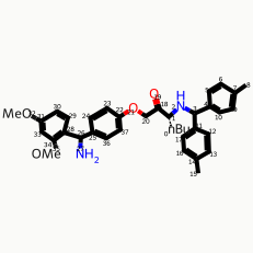 CCCC[C@@H](NC(c1ccc(C)cc1)c1ccc(C)cc1)C(=O)COc1ccc(C(N)c2ccc(OC)cc2OC)cc1